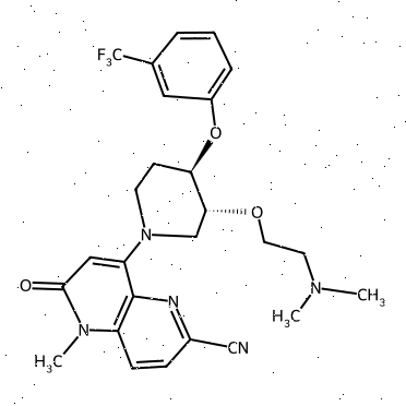 CN(C)CCO[C@@H]1CN(c2cc(=O)n(C)c3ccc(C#N)nc23)CC[C@H]1Oc1cccc(C(F)(F)F)c1